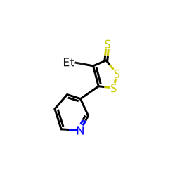 CCc1c(-c2cccnc2)ssc1=S